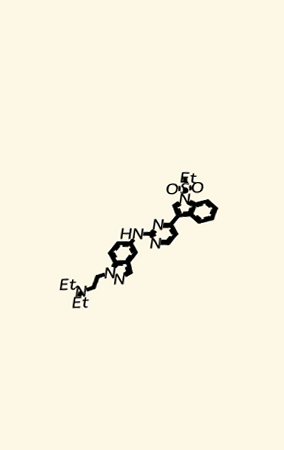 CCN(CC)CCn1ncc2cc(Nc3nccc(-c4cn(S(=O)(=O)CC)c5ccccc45)n3)ccc21